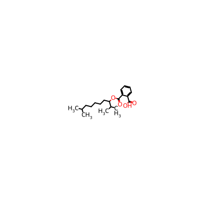 CC(C)CCCCCC(OC(=O)c1ccccc1C(=O)O)C(C)C